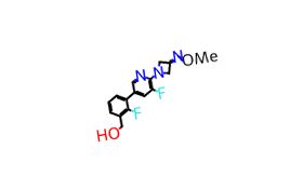 CON=C1CN(c2ncc(-c3cccc(CO)c3F)cc2F)C1